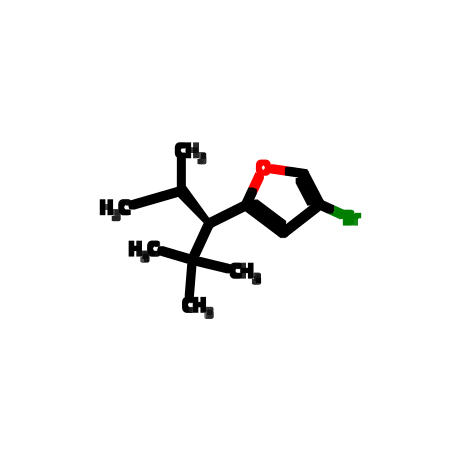 CC(C)[C@@H](c1cc(Br)co1)C(C)(C)C